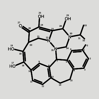 Cc1ccc2c(c1)C1c3cc(ccc3CC2)/C(O)=C(/O)C2CN3C(=C(O)C2=O)C(O)N(C(C)C)CN13